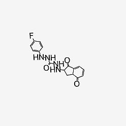 O=C(NNc1ccc(F)cc1)NNC1CC2C(=O)C=CC=C2C1=O